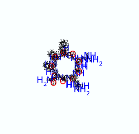 N=C(N)NCCC[C@H]1NC(=O)CNC(=O)[C@H](Cc2ccc3ccccc3c2)NC(=O)[C@@H](Cc2ccccc2)NC(=O)[C@H](Cc2ccccc2)NC(=O)[C@H](CCC(N)=O)NC(=O)CNC(=O)[C@@H](CCCNC(=N)N)NC(=O)CNC1=O